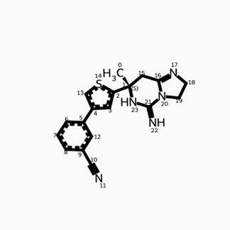 C[C@@]1(c2cc(-c3cccc(C#N)c3)cs2)CC2=NCCN2C(=N)N1